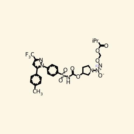 Cc1ccc(-c2cc(C(F)(F)F)nn2-c2ccc(S(=O)(=O)NC(=O)OC3CCN(/[N+]([O-])=N\OCOC(=O)C(C)C)C3)cc2)cc1